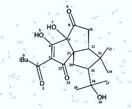 CCC(C)C(=O)C1=C(O)C2(O)C(=O)CC3C(C)(C)C(C(C)(C)O)CC32C1=O